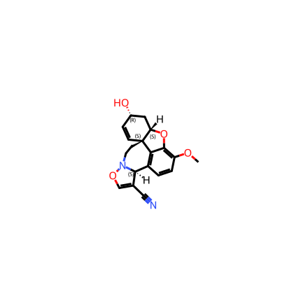 COc1ccc2c3c1O[C@H]1C[C@@H](O)C=C[C@@]31CCN1OC=C(C#N)[C@H]21